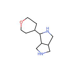 C1CC(C2NCC3CNCC32)CCO1